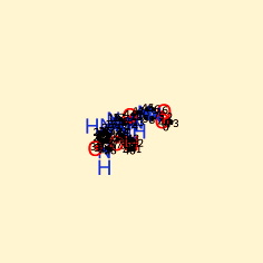 CC(C)(C)OC(=O)N1CCN(Cc2nnc(-c3cnc(Nc4ccc5c(c4)CCNC5=O)nc3N[C@H](CO)c3ccccc3)o2)CC1